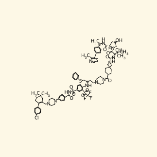 Cc1ncsc1-c1ccc([C@H](C)NC(=O)[C@@H]2C[C@@H](O)CN2C(=O)[C@@H](NC(=O)N2CC3(CCC(C(=O)N4CCN(CC[C@H](CSc5ccccc5)Nc5ccc(S(=O)(=O)NC(=O)c6ccc(N7CCN(CC8=C(c9ccc(Cl)cc9)CCC(C)(C)C8)CC7)cc6)cc5S(=O)(=O)C(F)(F)F)CC4)CC3)C2)C(C)(C)C)cc1